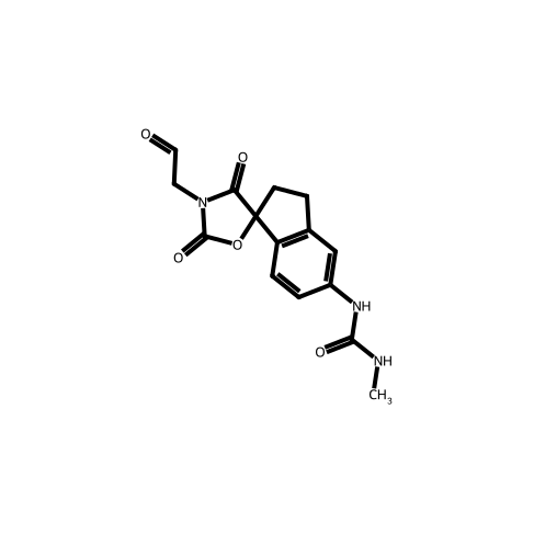 CNC(=O)Nc1ccc2c(c1)CCC21OC(=O)N(CC=O)C1=O